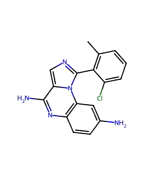 Cc1cccc(Cl)c1-c1ncc2c(N)nc3ccc(N)cc3n12